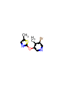 Cc1cnc(Oc2cncc(Br)c2C)s1